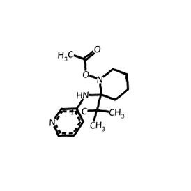 CC(=O)ON1CCCCC1(Nc1cccnc1)C(C)(C)C